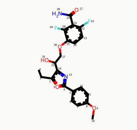 CCc1oc(-c2ccc(OC)cc2)nc1C(O)COc1ccc(F)c(C(N)=O)c1F